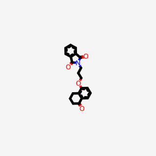 O=C1CCCc2c(OCCCN3C(=O)c4ccccc4C3=O)cccc21